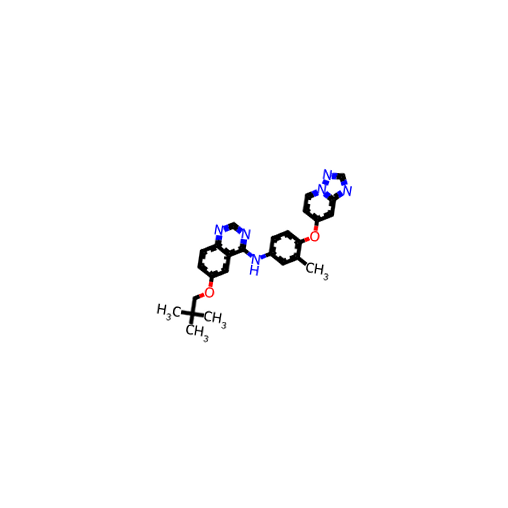 Cc1cc(Nc2ncnc3ccc(OCC(C)(C)C)cc23)ccc1Oc1ccn2ncnc2c1